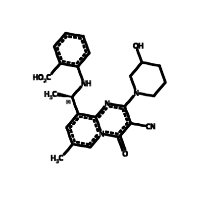 Cc1cc([C@@H](C)Nc2ccccc2C(=O)O)c2nc(N3CCCC(O)C3)c(C#N)c(=O)n2c1